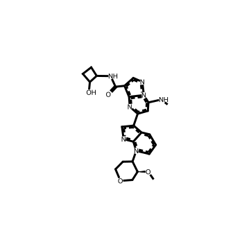 CNc1cc(-c2cnc3n(C4CCOC[C@@H]4OC)cccc2-3)nc2c(C(=O)NC3CCC3O)cnn12